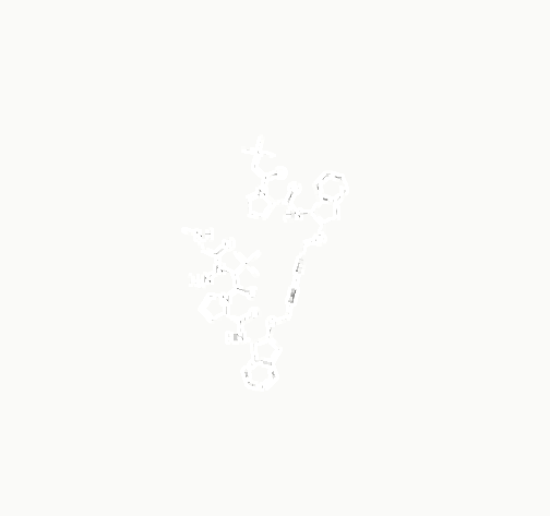 CNCC(=O)N(N)[C@H](C(=O)N1CCC[C@H]1C(=O)N[C@H]1c2ccccc2C[C@@H]1OCC#CC#CCO[C@H]1Cc2ccccc2[C@@H]1NC(=O)[C@@H]1CCCN1C(=O)CC(C)(C)C)C(C)(C)C